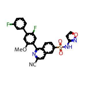 COc1cc(-c2cccc(F)c2)c(F)cc1-c1nc(C#N)cc2cc(S(=O)(=O)Nc3ccon3)ccc12